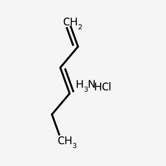 C=CC=CCC.Cl.N